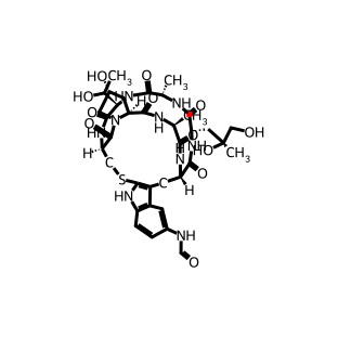 CC(O)[C@H]1NC(=O)[C@H](C)NC(=O)[C@H](C[C@@](C)(O)CO)NC(=O)[C@@H]2Cc3c([nH]c4ccc(NC=O)cc34)SC[C@@H](NC1=O)C(=O)N1C[C@H](O)C[C@H]1C(=O)N[C@@H](C)C(=O)N2